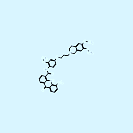 COc1cc(OCCCN2CCc3cc(OC)c(OC)cc3C2)ccc1NC(=O)c1cccc2c(=O)c3cccc(C)c3[nH]c12